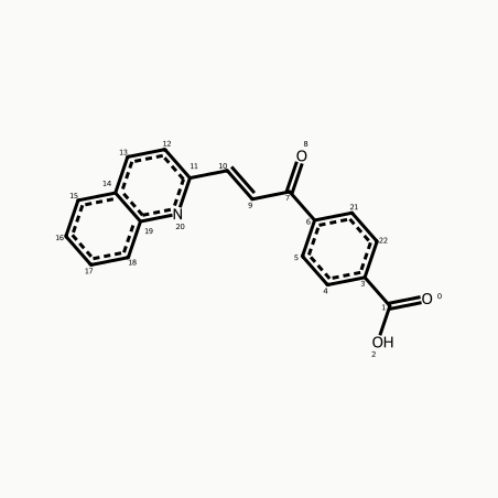 O=C(O)c1ccc(C(=O)C=Cc2ccc3ccccc3n2)cc1